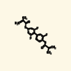 C=C(C)C(=O)Sc1cc(F)c(-c2ccc(SC(=O)C(=C)C)c(F)c2)c(F)c1